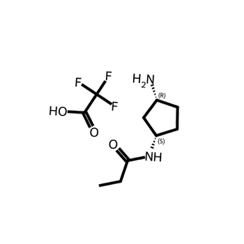 CCC(=O)N[C@H]1CC[C@@H](N)C1.O=C(O)C(F)(F)F